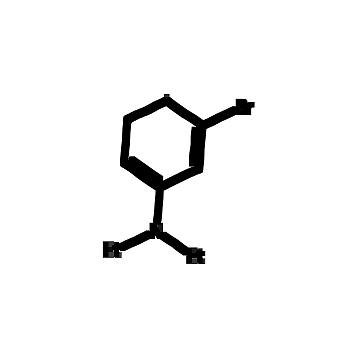 CCN(CC)C1=CC[CH]C(Br)=C1